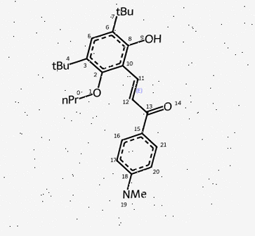 CCCOc1c(C(C)(C)C)cc(C(C)(C)C)c(O)c1/C=C/C(=O)c1ccc(NC)cc1